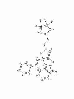 C=CCCC(CCCCB1OC(C)(C)C(C)(C)O1)(N=C(c1ccccc1)c1ccccc1)C(C)=O